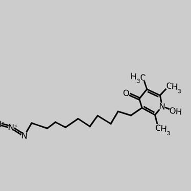 Cc1c(C)n(O)c(C)c(CCCCCCCCCCN=[N+]=[N-])c1=O